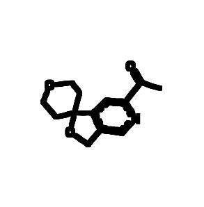 CC(=O)c1cc2c(cn1)COC21CCOCC1